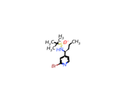 CCC[C@H](N[S@+]([O-])C(C)(C)C)c1ccnc(Br)c1